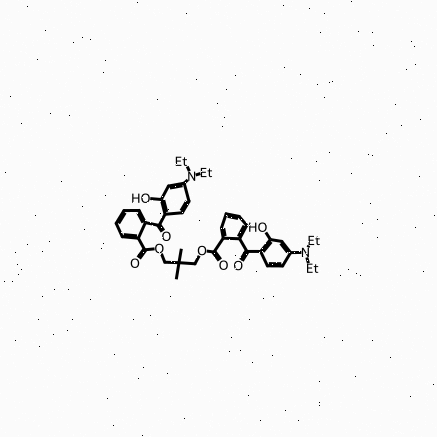 CCN(CC)c1ccc(C(=O)c2ccccc2C(=O)OCC(C)(C)COC(=O)c2ccccc2C(=O)c2ccc(N(CC)CC)cc2O)c(O)c1